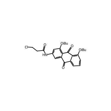 CC(C)COc1cccc2c1C(=O)c1c(OCC(C)C)cc(NC(=O)CCCl)cc1C2=O